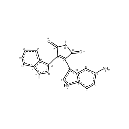 Nc1ccc2[nH]cc(C3=C(c4c[nH]c5ccccc45)C(=O)NC3=O)c2c1